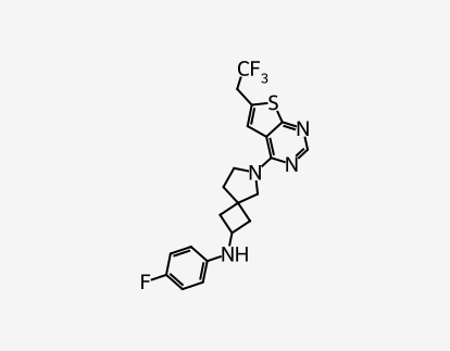 Fc1ccc(NC2CC3(CCN(c4ncnc5sc(CC(F)(F)F)cc45)C3)C2)cc1